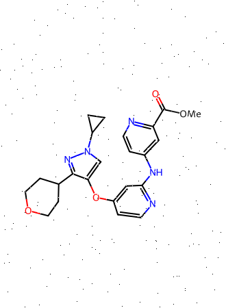 COC(=O)c1cc(Nc2cc(Oc3cn(C4CC4)nc3C3CCOCC3)ccn2)ccn1